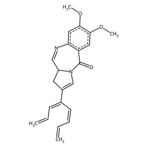 C=C/C=C\C(=C/C=C)C1=CN2C(=O)c3cc(OC)c(OC)cc3N=CC2C1